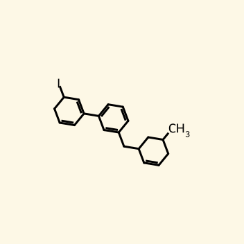 CC1CC=CC(Cc2cccc(C3=CC(I)CC=C3)c2)C1